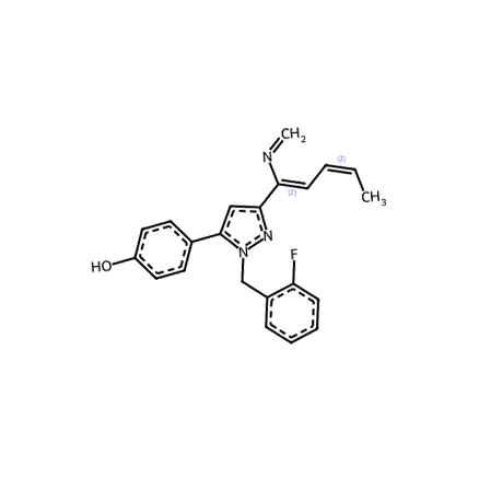 C=N/C(=C\C=C/C)c1cc(-c2ccc(O)cc2)n(Cc2ccccc2F)n1